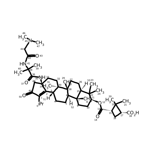 CC(C)C1=C2[C@H]3CC[C@@H]4[C@@]5(C)CC[C@H](OC(=O)[C@H]6C[C@@H](C(=O)O)C6(C)C)C(C)(C)[C@@H]5CC[C@@]4(C)[C@]3(C)CC[C@@]2(NC(=O)C(C)(C)NC(=O)CN(C)C)CC1=O